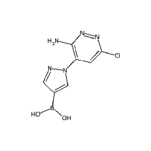 Nc1nnc(Cl)cc1-n1cc(B(O)O)cn1